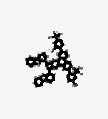 Cc1ccc(-c2ccc3c4ccc(-c5ccc(C(F)(F)F)cc5C)cc4c4nc5c(-c6cccc7c6oc6ccccc67)sc(-c6cccc7c6oc6ccccc67)c5nc4c3c2)c(C(F)(F)F)c1